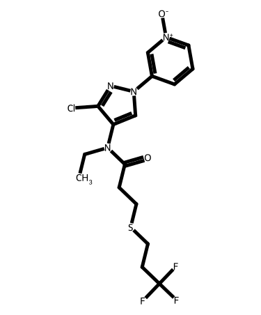 CCN(C(=O)CCSCCC(F)(F)F)c1cn(-c2ccc[n+]([O-])c2)nc1Cl